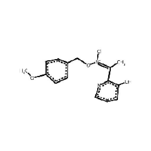 COc1ccc(CO[N+](Cl)=C(C)c2ncccc2O)cc1